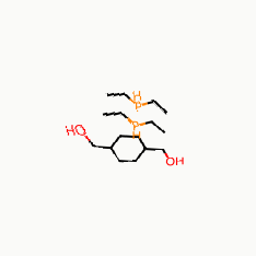 CCPCC.CCPCC.OCC1CCC(CO)CC1